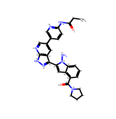 CCC(=O)Nc1ccc(-c2cnc3[nH]nc(-c4cc5c(C(=O)N6CCCC6)cccc5n4N)c3c2)cn1